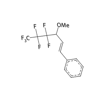 COC(C=Cc1ccccc1)C(F)(F)C(F)(F)C(F)(F)F